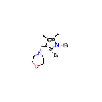 C[C@@H]1C(CN2CCOCC2)[C@@H](C(C)(C)C)N(C(C)(C)C)[C@@H]1C